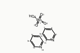 [O]=[Mn](=[O])(=[O])[OH].c1ccncc1.c1ccncc1